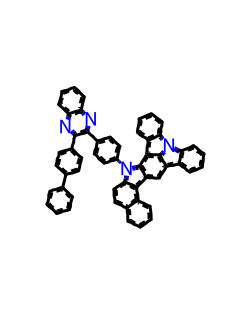 c1ccc(-c2ccc(-c3nc4ccccc4nc3-c3ccc(-n4c5ccc6ccccc6c5c5cc6c7ccccc7n7c8ccccc8c(c54)c67)cc3)cc2)cc1